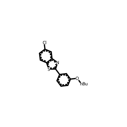 CCCCOc1cccc(-c2nc3cc(Cl)ccc3s2)c1